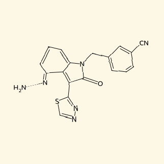 N#Cc1cccc(CN2C(=O)C(c3nncs3)=C3C2=CC=CC3=NN)c1